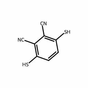 N#Cc1c(S)ccc(S)c1C#N